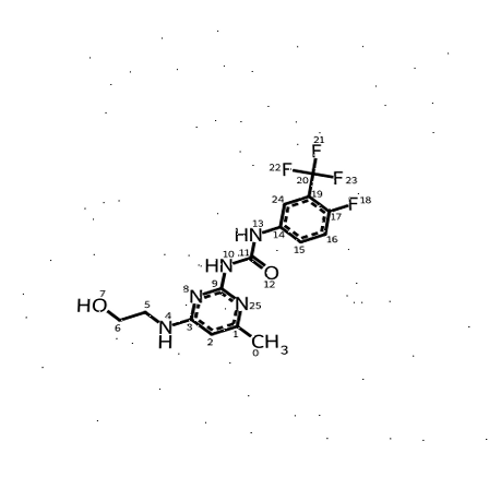 Cc1cc(NCCO)nc(NC(=O)Nc2ccc(F)c(C(F)(F)F)c2)n1